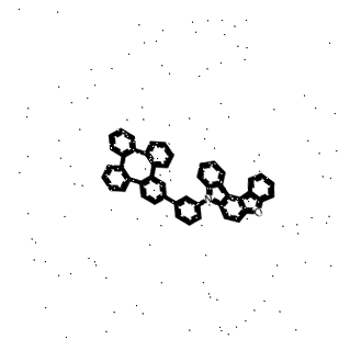 c1cc(-c2ccc3c(c2)-c2ccccc2-c2ccccc2-c2ccccc2-3)cc(-n2c3ccccc3c3c4c(ccc32)oc2ccccc24)c1